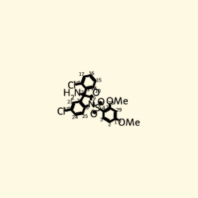 COc1ccc(S(=O)(=O)N2C(=O)C(N)(c3ccccc3Cl)c3cc(Cl)ccc32)c(OC)c1